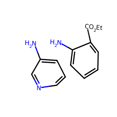 CCOC(=O)c1ccccc1N.Nc1cccnc1